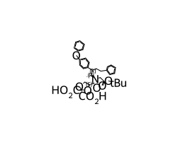 C[C@H]([C@H](CCc1ccccc1)c1ccc(Oc2ccccc2)cc1)N(CC(=O)OC(C)(C)C)C(=O)[C@@H]1COC(C(=O)O)(C(=O)O)O1